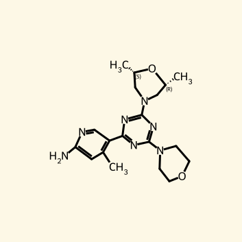 Cc1cc(N)ncc1-c1nc(N2CCOCC2)nc(N2C[C@@H](C)O[C@@H](C)C2)n1